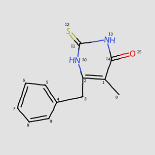 Cc1c(Cc2ccccc2)[nH]c(=S)[nH]c1=O